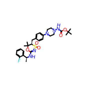 C[C@H](NC1=NS(=O)(=O)[C@H](Cc2ccc(N3CCN(NC(=O)OC(C)(C)C)CC3)cc2)C(C)(C)O1)c1ccccc1F